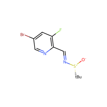 CC(C)(C)[S@@+]([O-])N=Cc1ncc(Br)cc1F